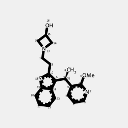 COc1ncccc1[C@H](C)c1c(CCN2CC(O)C2)sc2ccccc12